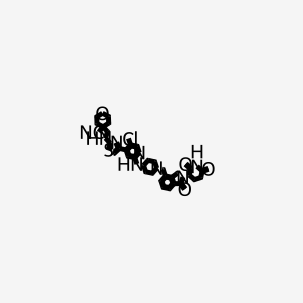 N#CC1(CNc2nc(-c3cc(NC4CCN(Cc5cccc6c5CN(C5CCC(=O)NC5=O)C6=O)CC4)ncc3Cl)cs2)CCOCC1